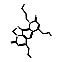 C=C1C=C(CCC)c2cc3c(CCC)cc(=O)n(CCCC)c3c3c2N1CO3